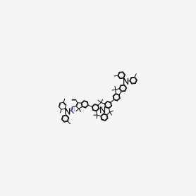 C=CC1=C(/C=C(\C)N(c2cccc(C)c2)C2C=C(C)C=CC2C)C(C)(C)c2cc(-c3cc4c5c(c3)C(C)(C)c3cc(-c6ccc7c(c6)C(C)(C)c6cc(N(c8cccc(C)c8)c8cccc(C)c8)ccc6-7)cc6c3N5c3c(cccc3C6(C)C)C4(C)C)ccc21